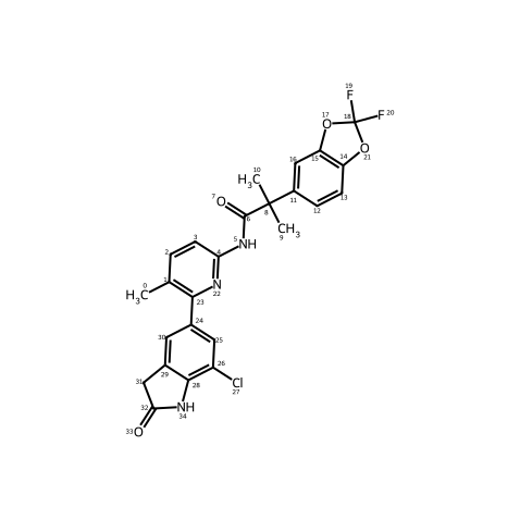 Cc1ccc(NC(=O)C(C)(C)c2ccc3c(c2)OC(F)(F)O3)nc1-c1cc(Cl)c2c(c1)CC(=O)N2